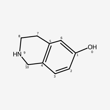 Oc1ccc2c(c1)CCN[C]2